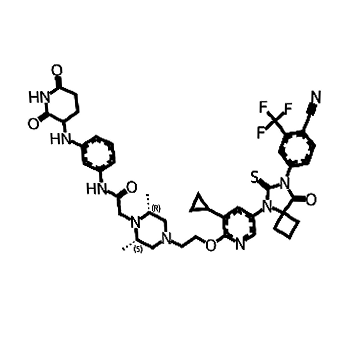 C[C@@H]1CN(CCOc2ncc(N3C(=S)N(c4ccc(C#N)c(C(F)(F)F)c4)C(=O)C34CCC4)cc2C2CC2)C[C@H](C)N1CC(=O)Nc1cccc(NC2CCC(=O)NC2=O)c1